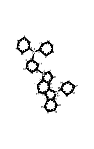 c1ccc(N(c2ccccc2)c2cccc(-n3ccc4c3ccc3c5ccccc5n(-c5ccccc5)c34)c2)cc1